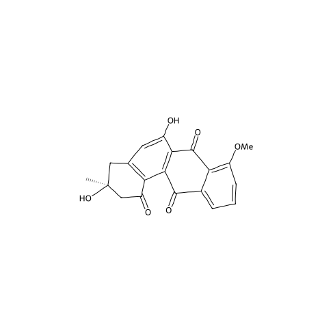 COc1cccc2c1C(=O)c1c(O)cc3c(c1C2=O)C(=O)C[C@@](C)(O)C3